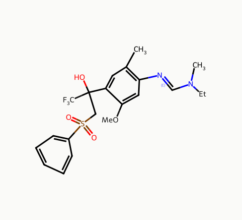 CCN(C)/C=N/c1cc(OC)c(C(O)(CS(=O)(=O)c2ccccc2)C(F)(F)F)cc1C